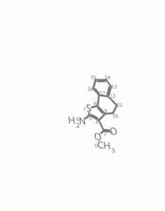 COC(=O)c1c(N)sc2c1CCc1ccccc1-2